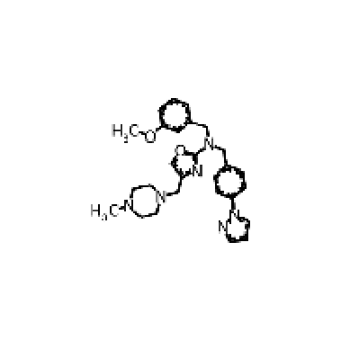 COc1cccc(CN(Cc2ccc(-n3cccn3)cc2)c2nc(CN3CCN(C)CC3)co2)c1